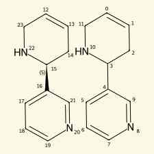 C1=CCC(c2cccnc2)NC1.C1=CC[C@@H](c2cccnc2)NC1